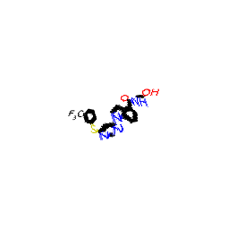 O=C(NCCO)c1cccc2c1CCN2c1cc(Sc2cccc(C(F)(F)F)c2)ncn1